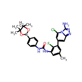 Cc1cc(NC(=O)Nc2ccc(B3OC(C)(C)C(C)(C)O3)cc2)c(F)c(-c2cc(Cl)n3c(N)nnc3c2)c1